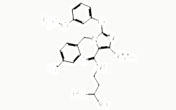 CNc1nc(Oc2cccc(OC(F)(F)F)c2)n(Cc2ccc(Cl)cc2)c1C(=O)NCCC(O)C(C)C